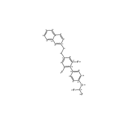 Fc1cc(CCc2ccc3ccccc3c2)cc(F)c1-c1ccc(OC(F)F)cc1